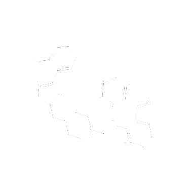 Clc1ccccc1-c1cc(CN2CCC(COc3nncc4onc(-c5ccccc5)c34)CC2)on1